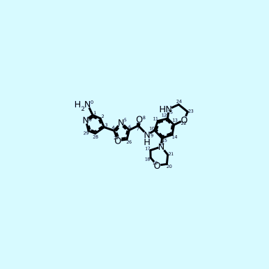 Nc1cc(-c2nc(C(=O)Nc3cc4c(cc3N3CCOCC3)OCCN4)co2)ccn1